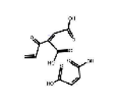 C=CC(=O)/C(=C/C(=O)O)C(=O)O.O=C(O)/C=C\C(=O)O